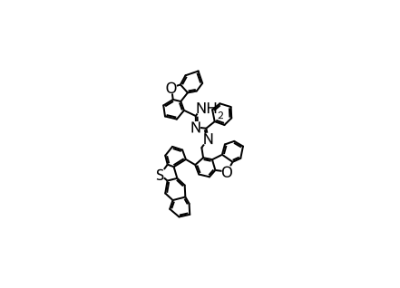 N/C(=N\C(=N/Cc1c(-c2cccc3sc4cc5ccccc5cc4c23)ccc2oc3ccccc3c12)c1ccccc1)c1cccc2oc3ccccc3c12